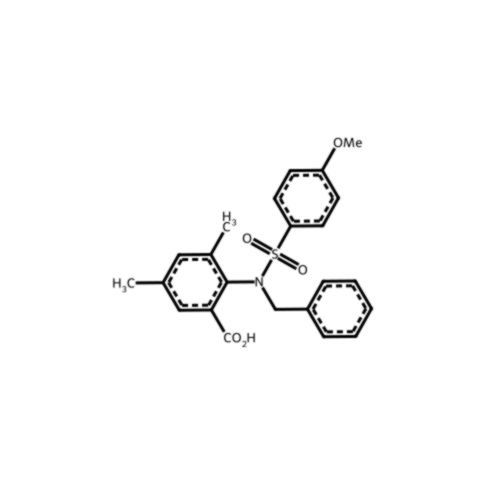 COc1ccc(S(=O)(=O)N(Cc2ccccc2)c2c(C)cc(C)cc2C(=O)O)cc1